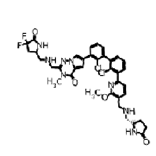 COc1nc(-c2cccc(-c3cccc(-c4cc5c(=O)n(C)c(CNCC6CC(F)(F)C(=O)N6)nn5c4)c3Cl)c2Cl)ccc1CNC[C@@H]1CCC(=O)N1